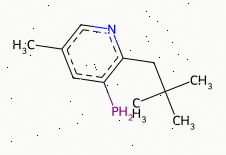 Cc1cnc(CC(C)(C)C)c(P)c1